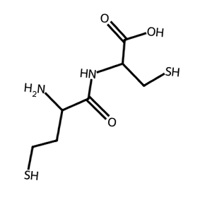 NC(CCS)C(=O)NC(CS)C(=O)O